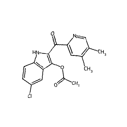 CC(=O)Oc1c(C(=O)c2cc(C)c(C)cn2)[nH]c2ccc(Cl)cc12